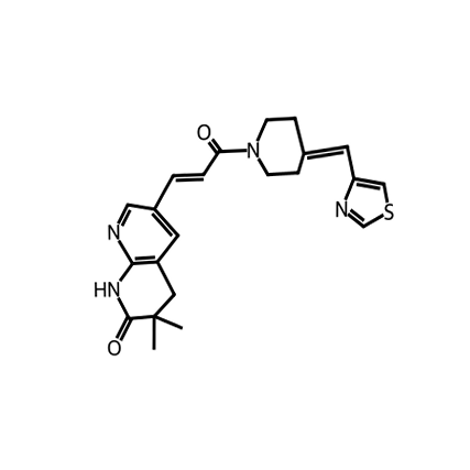 CC1(C)Cc2cc(C=CC(=O)N3CCC(=Cc4cscn4)CC3)cnc2NC1=O